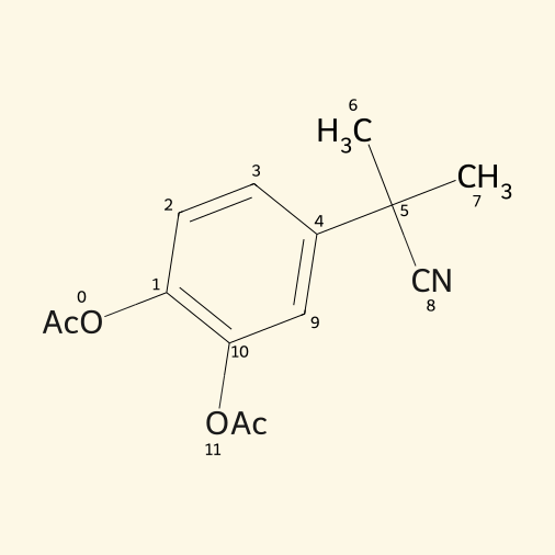 CC(=O)Oc1ccc(C(C)(C)C#N)cc1OC(C)=O